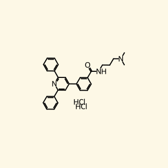 CN(C)CCCNC(=O)c1cccc(-c2cc(-c3ccccc3)nc(-c3ccccc3)c2)c1.Cl.Cl